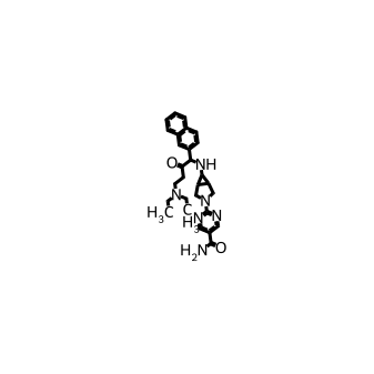 CCN(CC)CCC(=O)C(NC1C2CN(c3ncc(C(N)=O)cn3)CC21)c1ccc2ccccc2c1